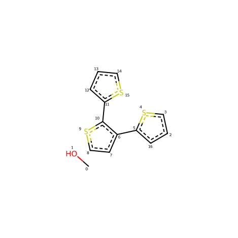 CO.c1csc(-c2ccsc2-c2cccs2)c1